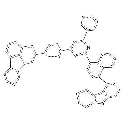 c1ccc(-c2nc(-c3ccc(-c4cc5c6c(cccc6c4)-c4ccccc4-5)cc3)nc(-c3ccc(-c4cccc5oc6ccccc6c45)c4ccccc34)n2)cc1